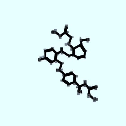 CCOc1cccc(CNc2ccc(Cl)cc2CNc2ccc(C(=N)NC(=O)OC(C)(C)C)cc2)c1OCC(=O)OC(C)(C)C